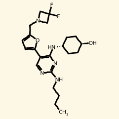 CCCCNc1ncc(-c2ccc(CN3CC(F)(F)C3)o2)c(N[C@H]2CC[C@H](O)CC2)n1